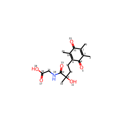 CC1=C(C)C(=O)C(CCC(C)(O)C(=O)NCC(=O)O)=C(C)C1=O